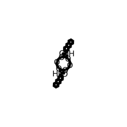 C=C1OCCOCCO[C@H](C(=O)Nc2ccc3cc4ccccc4cc3c2)C(=C)OCCOCCOC1C(=O)Nc1ccc2cc3ccccc3cc2c1